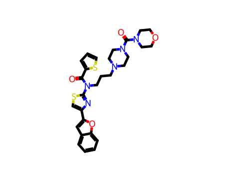 O=C(N1CCOCC1)N1CCN(CCCN(C(=O)c2cccs2)c2nc(-c3cc4ccccc4o3)cs2)CC1